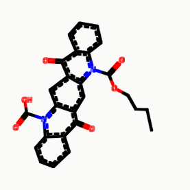 CCCCOC(=O)n1c2ccccc2c(=O)c2cc3c(cc21)c(=O)c1ccccc1n3C(=O)O